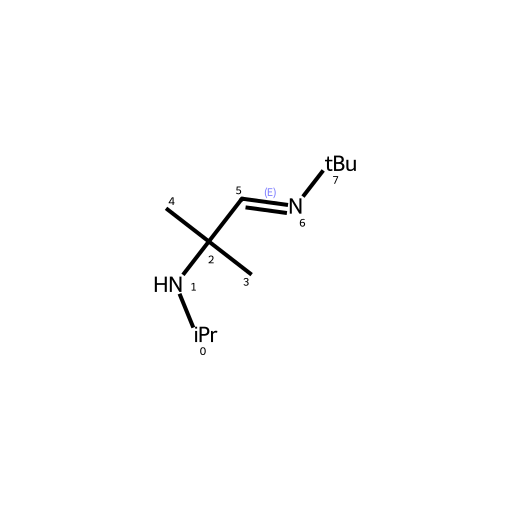 CC(C)NC(C)(C)/C=N/C(C)(C)C